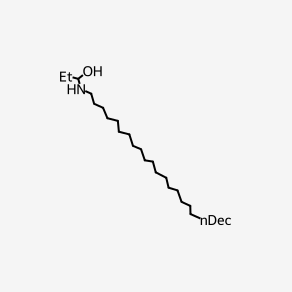 CCCCCCCCCCCCCCCCCCCCCCCCCCCCNC(O)CC